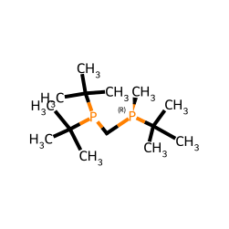 C[P@](CP(C(C)(C)C)C(C)(C)C)C(C)(C)C